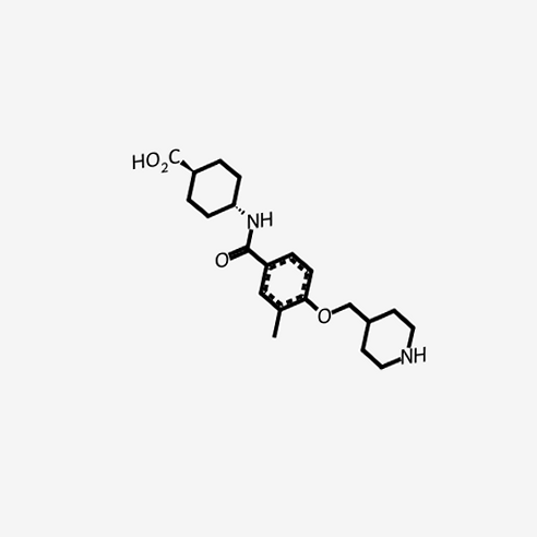 Cc1cc(C(=O)N[C@H]2CC[C@H](C(=O)O)CC2)ccc1OCC1CCNCC1